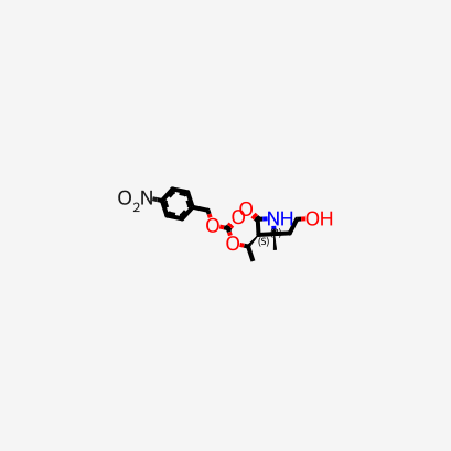 CC(OC(=O)OCc1ccc([N+](=O)[O-])cc1)[C@H]1C(=O)N[C@]1(C)CCO